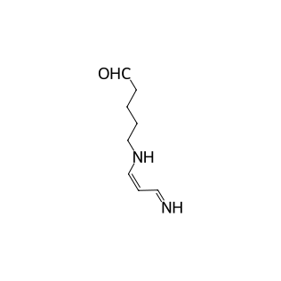 N=C/C=C\NCCCCC=O